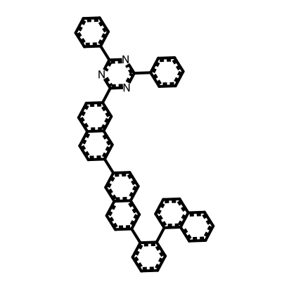 c1ccc(-c2nc(-c3ccccc3)nc(-c3ccc4ccc(-c5ccc6cc(-c7ccccc7-c7cccc8ccccc78)ccc6c5)cc4c3)n2)cc1